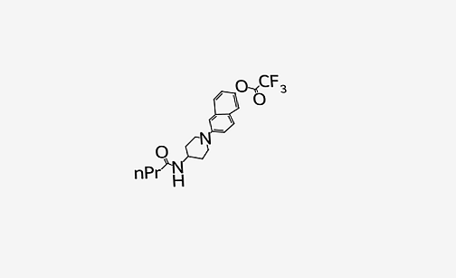 CCCC(=O)NC1CCN(c2ccc3cc(OC(=O)C(F)(F)F)ccc3c2)CC1